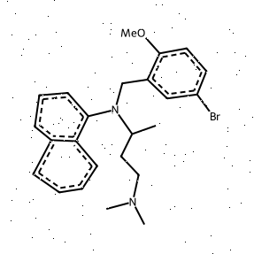 COc1ccc(Br)cc1CN(c1cccc2ccccc12)C(C)CCN(C)C